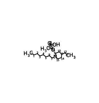 CCCCCCCCN1CCC(CC)CC1.CS(=O)(=O)O